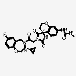 CNC(=O)Nc1ccc2c(c1)OCC[C@]21NC(=O)N(CC(=O)N2Cc3cc(F)ccc3OC[C@H]2C2CC2)C1=O